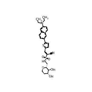 CCN(CC)c1ccc2cc(-c3ccc(/C=C(\C#N)S(=O)(=O)NC[C@H]4OCC[C@@H](O)[C@@H]4O)s3)ccc2c1